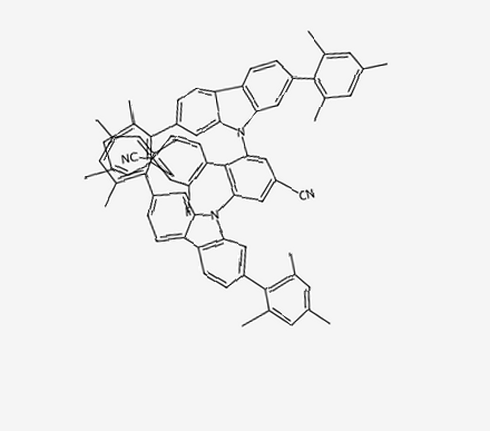 Cc1cc(C)c(-c2ccc3c4ccc(-c5c(C)cc(C)cc5C)cc4n(-c4cc(C#N)cc(-n5c6cc(-c7c(C)cc(C)cc7C)ccc6c6ccc(-c7c(C)cc(C)cc7C)cc65)c4-c4ccc(C#N)cc4F)c3c2)c(C)c1